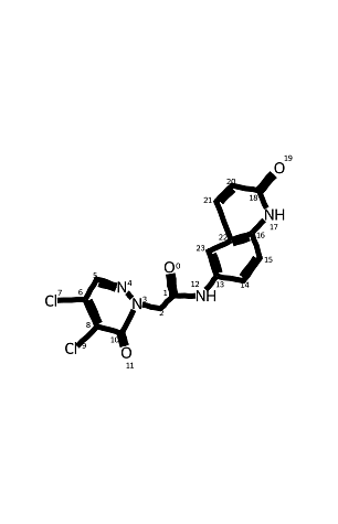 O=C(Cn1ncc(Cl)c(Cl)c1=O)Nc1ccc2[nH]c(=O)ccc2c1